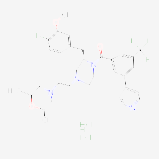 COc1cc(C[C@@H]2CN(CCN3CC(C)OC(C)C3)CCN2C(=O)c2cc(-c3ccncc3)cc(C(F)(F)F)c2)ccc1F.Cl.Cl.Cl